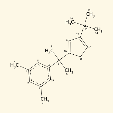 Cc1cc(C)cc(C(C)(C)C2=CC([Si](C)(C)C)=CC2)c1